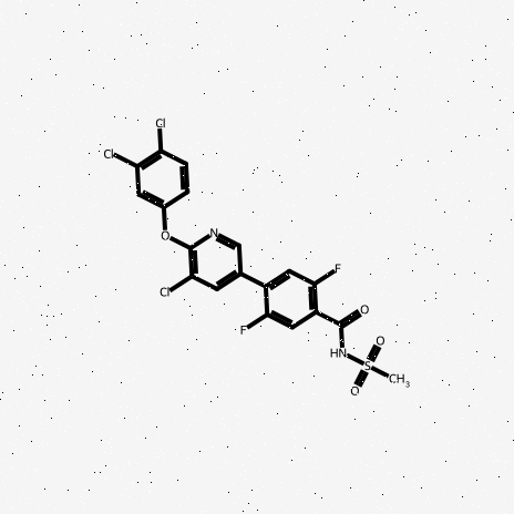 CS(=O)(=O)NC(=O)c1cc(F)c(-c2cnc(Oc3ccc(Cl)c(Cl)c3)c(Cl)c2)cc1F